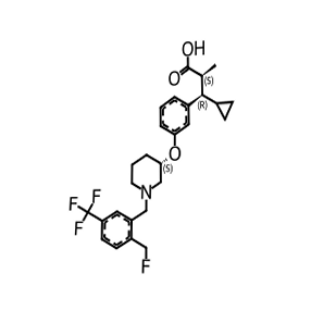 C[C@H](C(=O)O)[C@H](c1cccc(O[C@H]2CCCN(Cc3cc(C(F)(F)F)ccc3CF)C2)c1)C1CC1